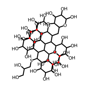 OCC(O)CSC(C1OC(O)C(O)C(O)C1O)C(C1OC(O)C(O)C(O)C1O)C(C1OC(O)C(O)C(O)C1O)C(C1OC(O)C(O)C(O)C1O)C(C(CC1OC(O)C(O)C(O)C1O)C1OC(O)C(O)C(O)C1O)C1OC(O)C(O)C(O)C1O